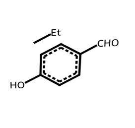 CCC.O=Cc1ccc(O)cc1